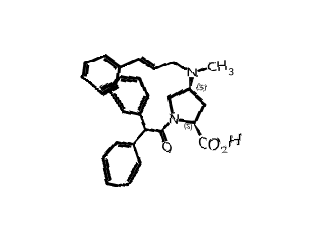 CN(CC=Cc1ccccc1)[C@H]1C[C@@H](C(=O)O)N(C(=O)C(c2ccccc2)c2ccccc2)C1